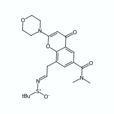 CN(C)C(=O)c1cc(CC=N[S+]([O-])C(C)(C)C)c2oc(N3CCOCC3)cc(=O)c2c1